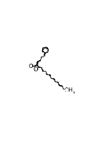 CCCCCCCCCCCCCC1OC(=O)C1=CCCCc1ccccc1